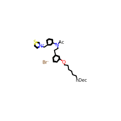 CCCCCCCCCCCCCCCCOc1cccc(CCN(C(C)=O)c2cccc(C[n+]3ccsc3)c2)c1.[Br-]